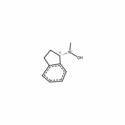 C[N+](O)[C@H]1CCc2ccccc21